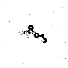 COC=C(C(=O)O)c1ccccc1COc1cccc(C2CC2c2cccs2)c1